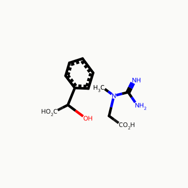 CN(CC(=O)O)C(=N)N.O=C(O)C(O)c1ccccc1